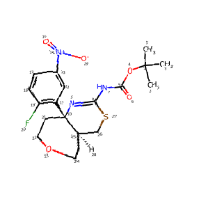 CC(C)(C)OC(=O)NC1=N[C@@]2(c3cc([N+](=O)[O-])ccc3F)CCOC[C@@H]2CS1